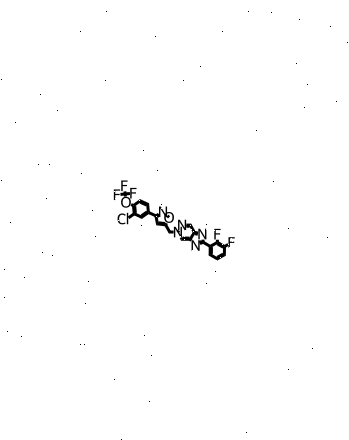 Fc1cccc(-c2nc3cnn(Cc4cc(-c5ccc(OC(F)(F)F)c(Cl)c5)no4)cc-3n2)c1F